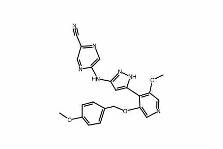 COc1ccc(COc2cncc(OC)c2-c2cc(Nc3cnc(C#N)cn3)n[nH]2)cc1